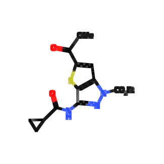 CCOC(=O)n1nc(NC(=O)C2CC2)c2sc(C(=O)OC)cc21